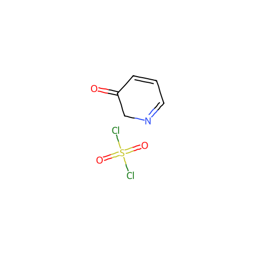 O=C1C=CC=NC1.O=S(=O)(Cl)Cl